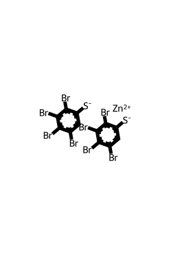 [S-]c1cc(Br)c(Br)c(Br)c1Br.[S-]c1cc(Br)c(Br)c(Br)c1Br.[Zn+2]